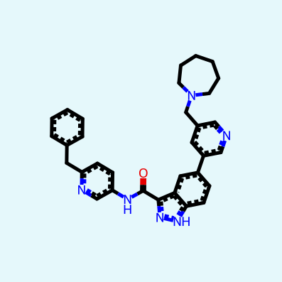 O=C(Nc1ccc(Cc2ccccc2)nc1)c1n[nH]c2ccc(-c3cncc(CN4CCCCCC4)c3)cc12